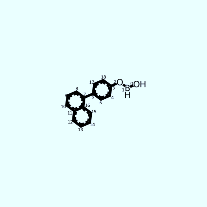 OBOc1ccc(-c2cccc3ccccc23)cc1